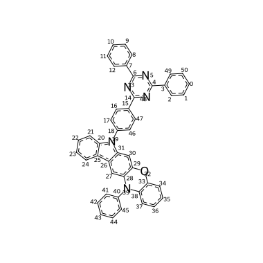 c1ccc(-c2nc(-c3ccccc3)nc(-c3ccc(-n4c5ccccc5c5cc6c(cc54)Oc4ccccc4N6c4ccccc4)cc3)n2)cc1